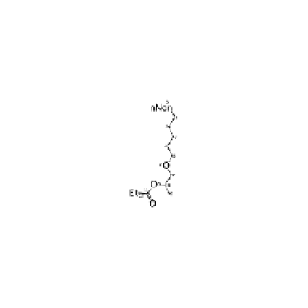 CCCCCCCCCCCCCCOCC(C)OC(=O)CC